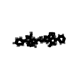 CC1=NN(c2ccccc2)C(=O)C1(CCCCCCC1(C(N)=O)C(=O)N(c2ccccc2)N=C1C)C(N)=O